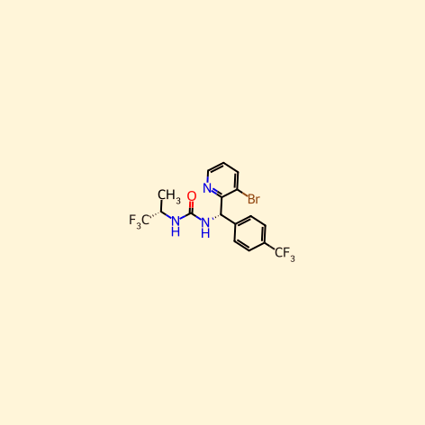 C[C@H](NC(=O)N[C@@H](c1ccc(C(F)(F)F)cc1)c1ncccc1Br)C(F)(F)F